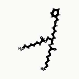 CCCCCCCC(=O)OCC(CCCCCOCc1ccccc1)COC(=O)CCCCCCC